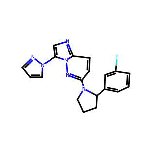 Fc1cccc(C2CCCN2c2ccc3ncc(-n4cccn4)n3n2)c1